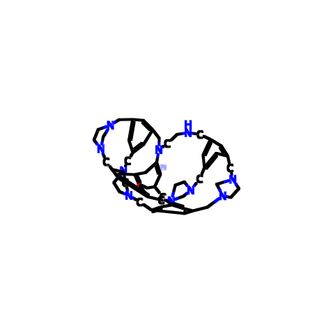 CCC1/C=C2\Cc3cc4cc(c3)CN3CCN(Cc5cc6cc(c5)CN2CCNCc2cc(cc(c2)CN2CCN(Cc5cc(cc(c5)CN5CCN(C6)C5)C1)C2)CN1CCN(C4)C1)C3